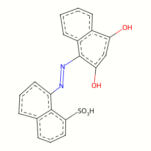 O=S(=O)(O)c1cccc2cccc(/N=N/c3c(O)cc(O)c4ccccc34)c12